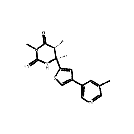 Cc1cncc(-c2csc([C@@]3(C)NC(=N)N(C)C(=O)[C@@H]3C)c2)c1